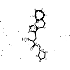 NC(Cc1ncn2c1CCc1ccccc1-2)C(=O)ON1CCCC1